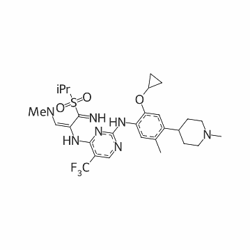 CN/C=C(/Nc1nc(Nc2cc(C)c(C3CCN(C)CC3)cc2OC2CC2)ncc1C(F)(F)F)C(=N)S(=O)(=O)C(C)C